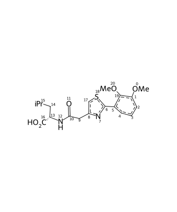 COc1cccc(-c2nc(CC(=O)N[C@@H](CC(C)C)C(=O)O)cs2)c1OC